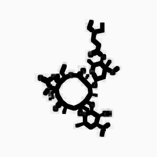 CC[C@H]1OC(=O)[C@H](C)[C@@H](O[C@H]2C[C@@](C)(OC)[C@@H](OC(=O)CCN(CC)CC)[C@H](C)O2)[C@H](C)[C@@H](O[C@@H]2O[C@H](C)C[C@H](N(C)C)[C@H]2O)[C@](C)(OC)C[C@@H](C)C(=O)[C@H](C)[C@H]2N(C)C(=O)O[C@]12C